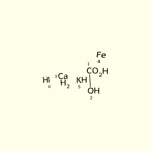 I.O=C(O)O.[CaH2].[Fe].[KH]